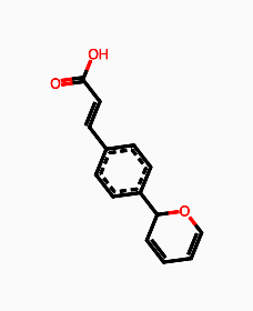 O=C(O)/C=C/c1ccc(C2C=CC=CO2)cc1